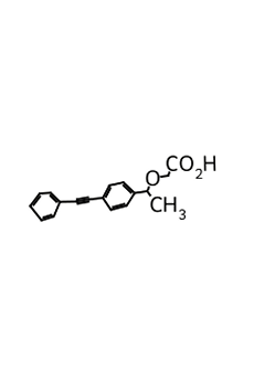 CC(OCC(=O)O)c1ccc(C#Cc2ccccc2)cc1